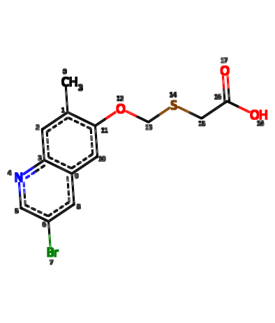 Cc1cc2ncc(Br)cc2cc1OCSCC(=O)O